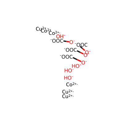 O=C([O-])[O-].O=C([O-])[O-].O=C([O-])[O-].O=C([O-])[O-].[Co+2].[Co+2].[Co+2].[Cu+2].[Cu+2].[Cu+2].[OH-].[OH-].[OH-].[OH-]